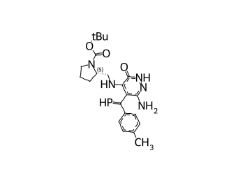 Cc1ccc(C(=P)c2c(N)n[nH]c(=O)c2NC[C@@H]2CCCN2C(=O)OC(C)(C)C)cc1